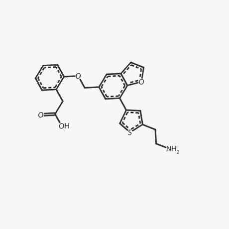 NCCc1cc(-c2cc(COc3ccccc3CC(=O)O)cc3ccoc23)cs1